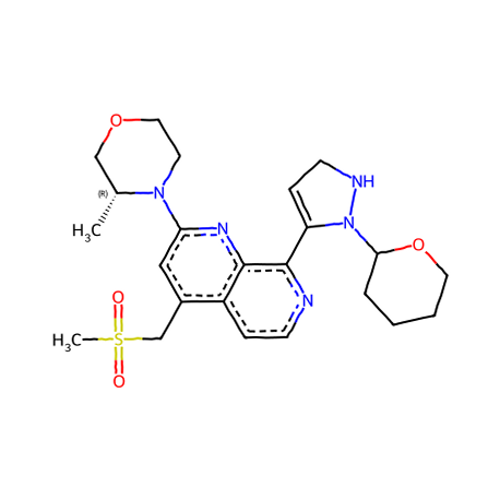 C[C@@H]1COCCN1c1cc(CS(C)(=O)=O)c2ccnc(C3=CCNN3C3CCCCO3)c2n1